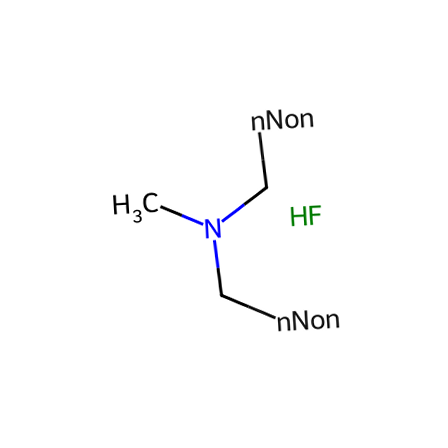 CCCCCCCCCCN(C)CCCCCCCCCC.F